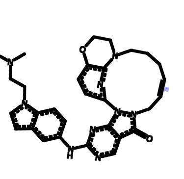 CN(C)CCn1ccc2cc(Nc3ncc4c(=O)n5n(c4n3)-c3ccc4c(n3)N(CCC/C=C\C5)CCO4)ccc21